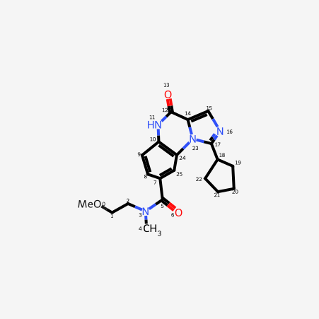 COCCN(C)C(=O)c1ccc2[nH]c(=O)c3cnc(C4CCCC4)n3c2c1